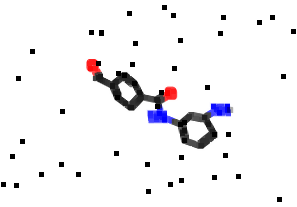 [NH]c1cccc(NC(=O)c2ccc([C]=O)cc2)c1